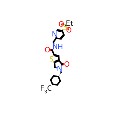 CCS(=O)(=O)c1ccc(CNC(=O)c2cc3c(s2)CN(C[C@H]2CC[C@@H](C(F)(F)F)CC2)C3=O)nc1